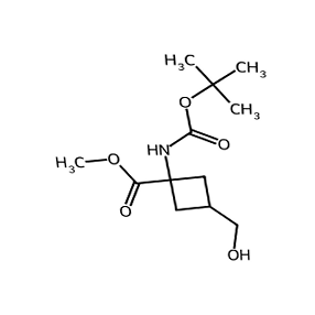 COC(=O)C1(NC(=O)OC(C)(C)C)CC(CO)C1